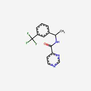 CC(NC(=O)c1ccncn1)c1cccc(C(F)(F)F)c1